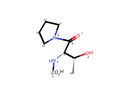 C[C@@H](O)[C@H](NC(=O)O)C(=O)N1CCCC1